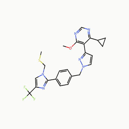 COc1ncnc(C2CC2)c1-c1ccn(Cc2ccc(-c3nc(C(F)(F)F)cn3CSC)cc2)n1